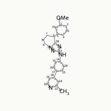 COc1cccc(C2CCCn3nc(Nc4ccc(-c5ccnc(C)c5)cc4)nc32)c1